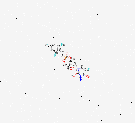 O=c1[nH]c(=O)n([C@H]2C[C@@H]3OP(=O)(CCc4c(F)cc(F)cc4F)OC[C@H]3O2)cc1F